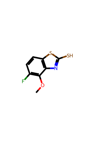 COc1c(F)ccc2sc(S)nc12